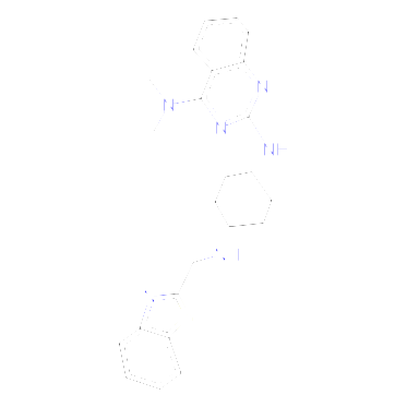 CN(C)c1nc(N[C@H]2CC[C@@H](NCc3nc4ccccc4s3)CC2)nc2ccccc12